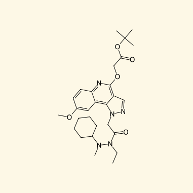 CCN(C(=O)Cn1ncc2c(OCC(=O)OC(C)(C)C)nc3ccc(OC)cc3c21)N(C)C1CCCCC1